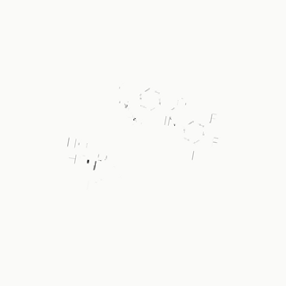 O=C(Nc1cc(F)c(F)c(F)c1)c1ccc(Cl)c(S(=O)(=O)CCCCO[C@H]2C3CC[C@H]2C[C@](O)(CO)C3)c1